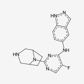 Fc1cnc(N2C3CCC2CNC3)nc1Nc1ccc2[nH]ncc2c1